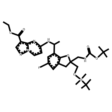 CCOC(=O)c1cnn2ccc(NC(C)c3cc(F)cc4c3OC(CNC(=O)OC(C)(C)C)(CO[Si](C)(C)C(C)(C)C)C4)nc12